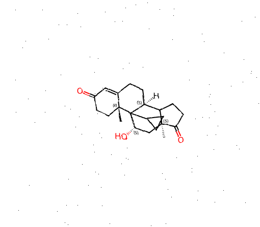 C[C@]12C[C@H](O)C3(C4CC4)[C@@H](CCC4=CC(=O)CC[C@]43C)C1CCC2=O